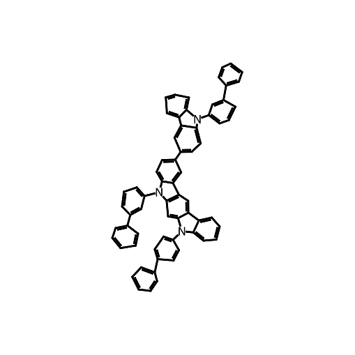 c1ccc(-c2ccc(-n3c4ccccc4c4cc5c6cc(-c7ccc8c(c7)c7ccccc7n8-c7cccc(-c8ccccc8)c7)ccc6n(-c6cccc(-c7ccccc7)c6)c5cc43)cc2)cc1